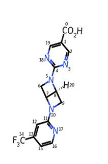 O=C(O)c1cnc(N2CC3[C@@H]2CN3c2cc(C(F)(F)F)ccn2)nc1